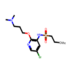 COCCS(=O)(=O)Nc1cc(Br)cnc1OCCCN(C)C